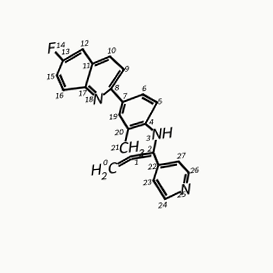 C=C=C(Nc1ccc(-c2ccc3cc(F)ccc3n2)cc1C)c1ccncc1